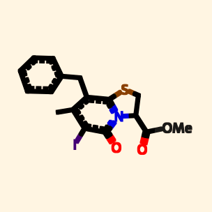 COC(=O)C1CSc2c(Cc3ccccc3)c(C)c(I)c(=O)n21